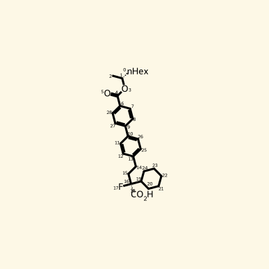 CCCCCC[C@@H](C)OC(=O)c1ccc(-c2ccc(CC[C@@](F)(C(=O)O)C3CCCCC3)cc2)cc1